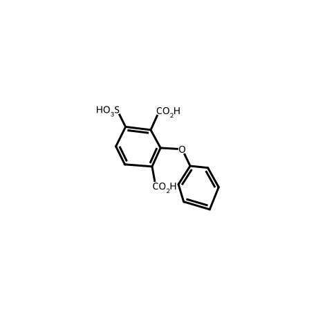 O=C(O)c1ccc(S(=O)(=O)O)c(C(=O)O)c1Oc1ccccc1